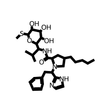 CCCCCC1CC(C(=O)NC(C(C)C)C2OC(SC)C(O)C(O)C2O)N(C(Cc2ccccc2)c2ncc[nH]2)C1